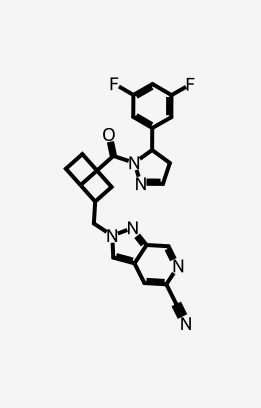 N#Cc1cc2cn(CC3CC4(C(=O)N5N=CCC5c5cc(F)cc(F)c5)CCC34)nc2cn1